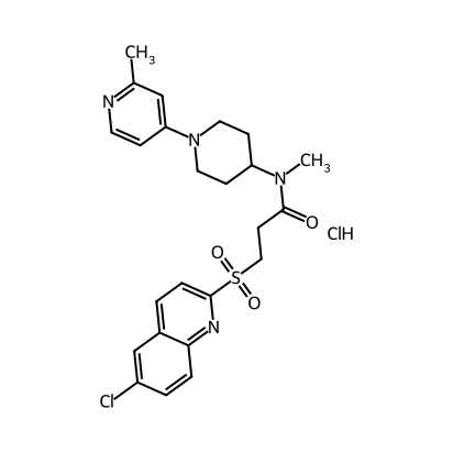 Cc1cc(N2CCC(N(C)C(=O)CCS(=O)(=O)c3ccc4cc(Cl)ccc4n3)CC2)ccn1.Cl